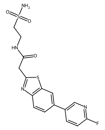 NS(=O)(=O)CCNC(=O)Cc1nc2ccc(-c3ccc(F)nc3)cc2s1